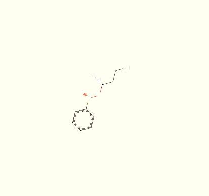 CCCC(N)OS(=O)c1ccccc1